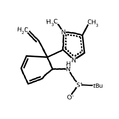 C=CC1(c2ncc(C)n2C)C=CC=CC1N[S+]([O-])C(C)(C)C